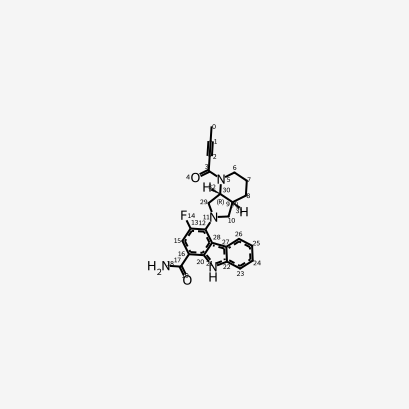 CC#CC(=O)N1CCC[C@@H]2CN(c3c(F)cc(C(N)=O)c4[nH]c5ccccc5c34)C[C@@H]21